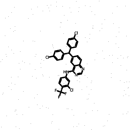 FC(F)(F)c1ccc(Nc2ncnc3ccc(C(c4ccc(Cl)cc4)c4ccc(Cl)cc4)cc23)cc1Cl